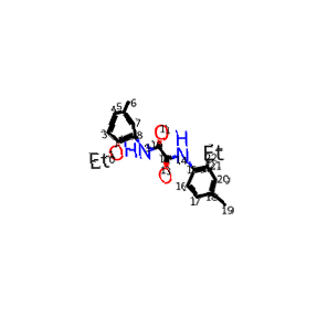 CCOc1ccc(C)cc1NC(=O)C(=O)Nc1ccc(C)cc1CC